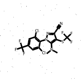 CN(C)c1c(SC(F)(F)F)c(C#N)nn1-c1c(Cl)cc(C(F)(F)F)cc1Cl